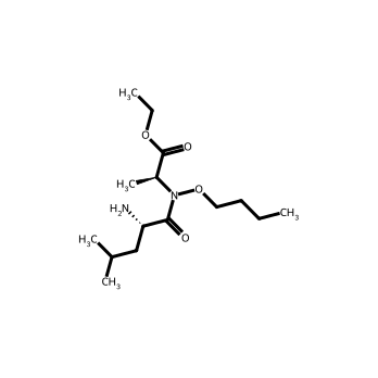 CCCCON(C(=O)[C@@H](N)CC(C)C)[C@@H](C)C(=O)OCC